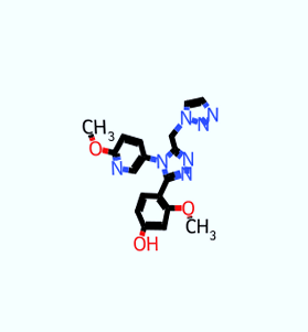 COc1ccc(-n2c(Cn3ccnn3)nnc2-c2ccc(O)cc2OC)cn1